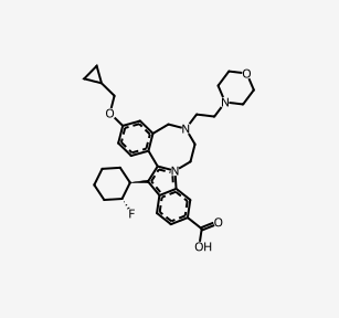 O=C(O)c1ccc2c([C@@H]3CCCC[C@H]3F)c3n(c2c1)CCN(CCN1CCOCC1)Cc1cc(OCC2CC2)ccc1-3